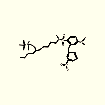 CCCCC(CCCCCN(C)S(=O)(=O)c1ccc(N(C)C)cc1Cc1cccc([N+](=O)[O-])c1)O[Si](C)(C)C(C)(C)C